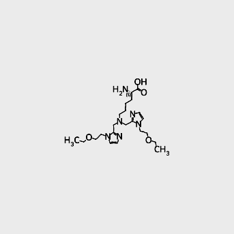 CCOCCn1ccnc1CN(CCCC[C@H](N)C(=O)O)Cc1nccn1CCOCC